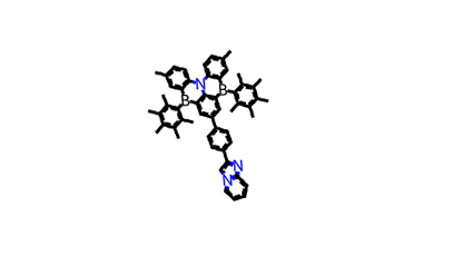 Cc1ccc2c(c1)B(c1c(C)c(C)c(C)c(C)c1C)c1cc(-c3ccc(-c4cn5ccccc5n4)cc3)cc3c1N2c1ccc(C)cc1B3c1c(C)c(C)c(C)c(C)c1C